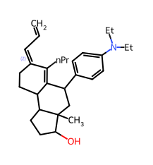 C=C/C=C1/CCC2C(=C1CCC)C(c1ccc(N(CC)CC)cc1)CC1(C)C(O)CCC21